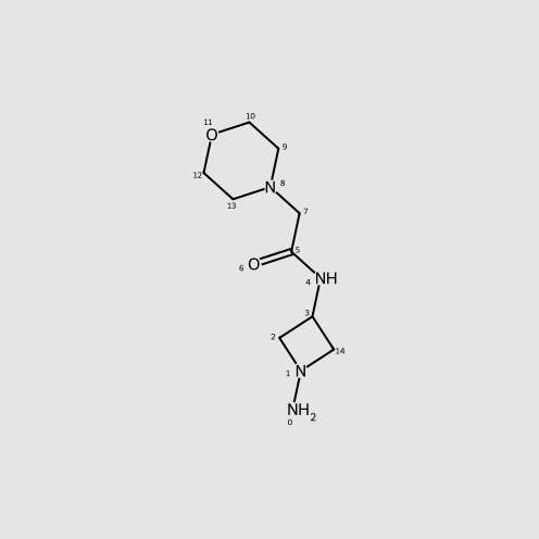 NN1CC(NC(=O)CN2CCOCC2)C1